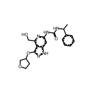 CC(NC(=O)Nc1cc2[nH]nc(OC3CCOC3)c2c(CO)n1)c1ccccc1